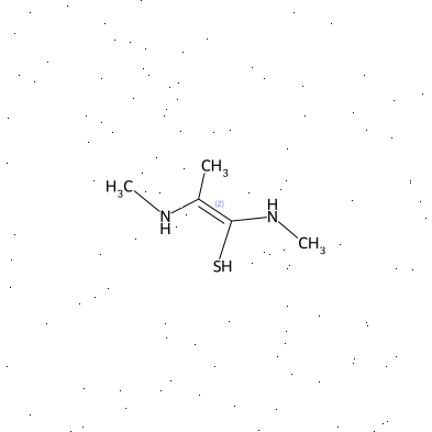 CN/C(C)=C(\S)NC